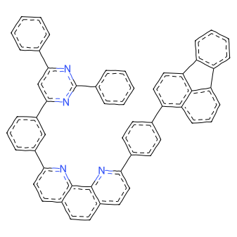 c1ccc(-c2cc(-c3cccc(-c4ccc5ccc6ccc(-c7ccc(-c8ccc9c%10c(cccc8%10)-c8ccccc8-9)cc7)nc6c5n4)c3)nc(-c3ccccc3)n2)cc1